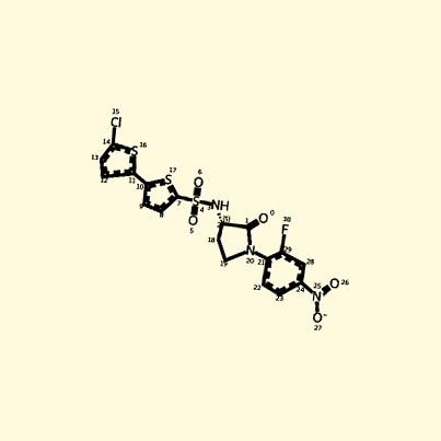 O=C1[C@@H](NS(=O)(=O)c2ccc(-c3ccc(Cl)s3)s2)CCN1c1ccc([N+](=O)[O-])cc1F